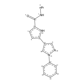 CCCNC(=O)c1ccc(-c2cnn(-c3ccccc3)c2)[nH]1